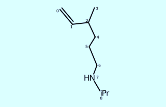 C=CC(C)CCCNC(C)C